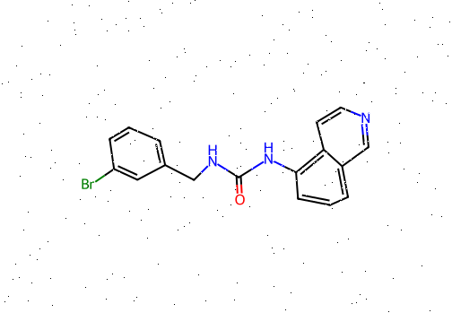 O=C(NCc1cccc(Br)c1)Nc1cccc2cnccc12